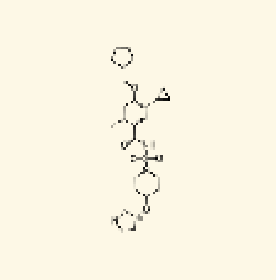 O=C(NS(=O)(=O)N1CCC(O[C@@H]2CCNC2)CC1)c1cc(C2CC2)c(OCC2CCCC2)cc1F